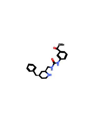 COC(=O)c1cccc(NC(=O)NC[C@@H]2C[C@@H](Cc3ccccc3)CCN2)c1